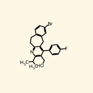 CC(C)c1nc2c(c(-c3ccc(F)cc3)c1CO)Cc1cc(Br)ccc1CC2